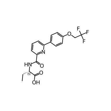 CC[C@H](NC(=O)c1cccc(-c2ccc(OCC(F)(F)F)cc2)n1)C(=O)O